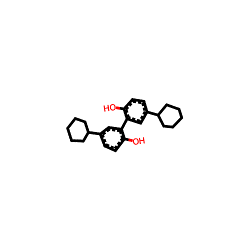 Oc1ccc(C2CCCCC2)cc1-c1cc(C2CCCCC2)ccc1O